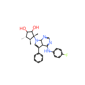 C[C@@H]1C(O)C(O)[C@](C)(N2C=C(c3ccccc3)C3C(Nc4ccc(F)cc4)=NC=NC32)[C@H]1C